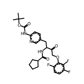 CC(C)(C)OC(=O)Nc1ccc(CC(NC(=O)C2CCCC2)C(=O)COc2c(F)ccc(F)c2F)cn1